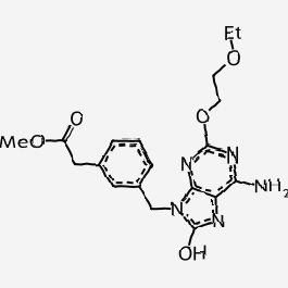 CCOCCOc1nc(N)c2nc(O)n(Cc3cccc(CC(=O)OC)c3)c2n1